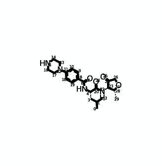 CC(C)C[C@H](NC(=O)c1ccc(N2CCNCC2)cc1)C(=O)N[C@@H]1C(=O)CO[C@@H]1C